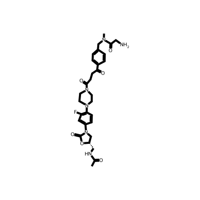 CC(=O)NC[C@H]1CN(c2ccc(N3CCN(C(=O)CCC(=O)c4ccc(CN(C)C(=O)CN)cc4)CC3)c(F)c2)C(=O)O1